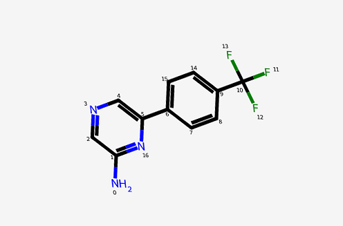 Nc1cncc(-c2ccc(C(F)(F)F)cc2)n1